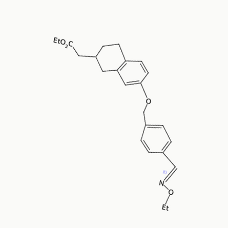 CCO/N=C/c1ccc(COc2ccc3c(c2)CC(CC(=O)OCC)CC3)cc1